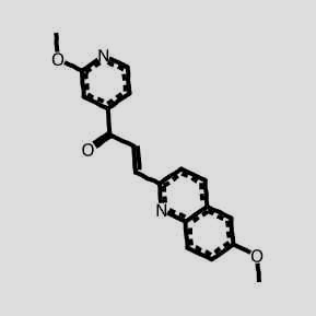 COc1ccc2nc(/C=C/C(=O)c3ccnc(OC)c3)ccc2c1